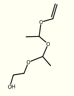 C=COC(C)OC(C)OCCO